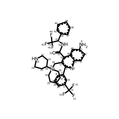 Nc1ccc2nc(-c3cccc(C(F)(F)F)c3)c(C[N+]3(C4CCNCC4)CCCCC3)c(C(=O)N[C@H](c3ccccc3)C(F)(F)F)c2c1